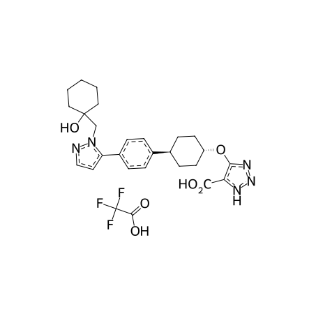 O=C(O)C(F)(F)F.O=C(O)c1[nH]nnc1O[C@H]1CC[C@H](c2ccc(-c3ccnn3CC3(O)CCCCC3)cc2)CC1